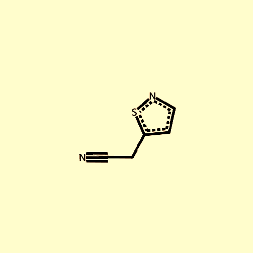 N#CCc1ccns1